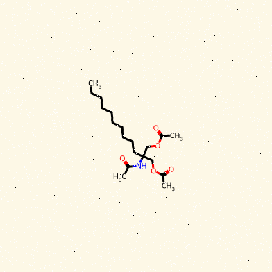 CCCCCCCCCCC(COC(C)=O)(COC(C)=O)NC(C)=O